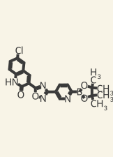 CC1(C)OB(c2ccc(-c3noc(-c4cc5cc(Cl)ccc5[nH]c4=O)n3)cn2)OC1(C)C